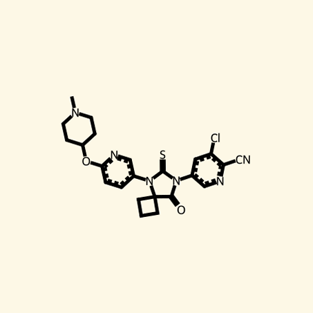 CN1CCC(Oc2ccc(N3C(=S)N(c4cnc(C#N)c(Cl)c4)C(=O)C34CCC4)cn2)CC1